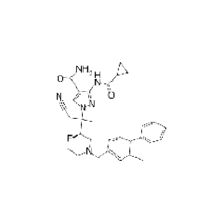 CCN(CC1=CC(C)C(c2ccccc2)C=C1)C[C@@H](F)C(C)(CC#N)n1cc(C(N)=O)c(NC(=O)C2CC2)n1